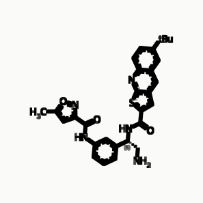 Cc1cc(C(=O)Nc2cccc([C@@H](CN)NC(=O)c3cc4cc5cc(C(C)(C)C)ccc5nc4s3)c2)no1